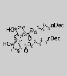 CCCCCCCCCCCCCCCOC(=O)c1ccc(O)c(Sc2cc(C(=O)OCCCCCCCCCCCCCCC)ccc2O)c1